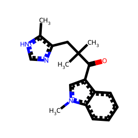 Cc1[nH]cnc1CC(C)(C)C(=O)c1cn(C)c2ccccc12